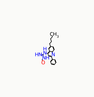 CCCCCc1ccc2nc(-c3ccccc3)cc(NC(=N)NC=O)c2c1